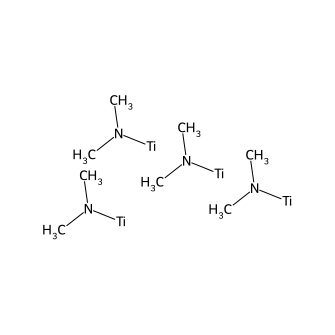 C[N](C)[Ti].C[N](C)[Ti].C[N](C)[Ti].C[N](C)[Ti]